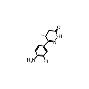 C[C@@H]1CC(=O)NN=C1c1ccc(N)c(Cl)c1